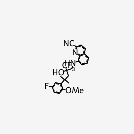 COc1ccc(F)cc1C(C)(C)CC(O)(CNc1cccc2ccc(C#N)nc12)C(F)(F)F